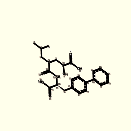 CC(C)CN(C[C@H](O)C(=O)O)C(=O)N[C@H](Cc1ccc(-c2ccccc2)cc1)C(=O)O